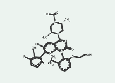 CC(C)c1nccc(OCCO)c1-n1c(=O)nc(N2C[C@@H](C)N(C(=O)O)C[C@@H]2C)c2cc(Cl)c(-c3c(F)ccc(F)c3O)nc21